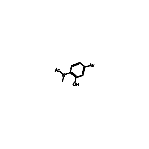 CC(=O)N(C)c1ccc(Br)cc1O